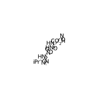 Cc1nc(CC(C)C)c2[nH]c(Cn3cccc(NC(=O)[C@H](CC/C=C/C(=O)N(C)C)NC(=O)O)c3=O)cc2n1